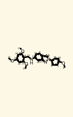 COc1ccc(-n2nc3ccc(NCc4c(OC)cc(OC)cc4OC)cc3n2)cc1